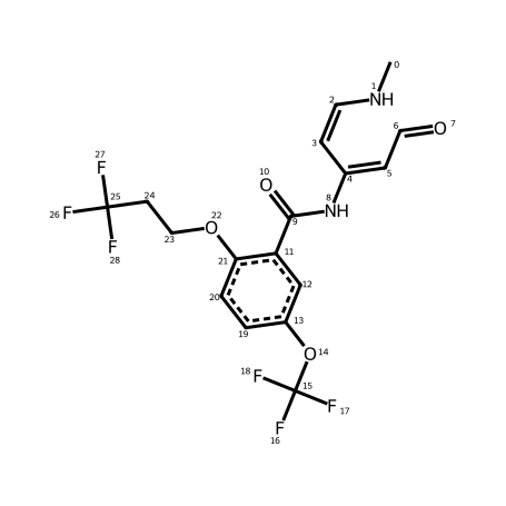 CN/C=C\C(=C/C=O)NC(=O)c1cc(OC(F)(F)F)ccc1OCCC(F)(F)F